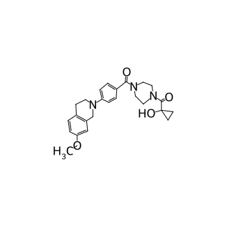 COc1ccc2c(c1)CN(c1ccc(C(=O)N3CCN(C(=O)C4(O)CC4)CC3)cc1)CC2